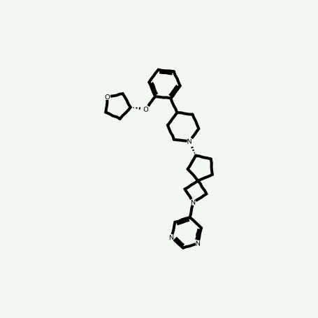 c1ccc(C2CCN([C@@H]3CCC4(C3)CN(c3cncnc3)C4)CC2)c(O[C@@H]2CCOC2)c1